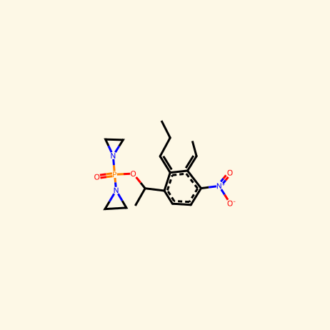 C/C=c1/c([N+](=O)[O-])ccc(C(C)OP(=O)(N2CC2)N2CC2)/c1=C/CC